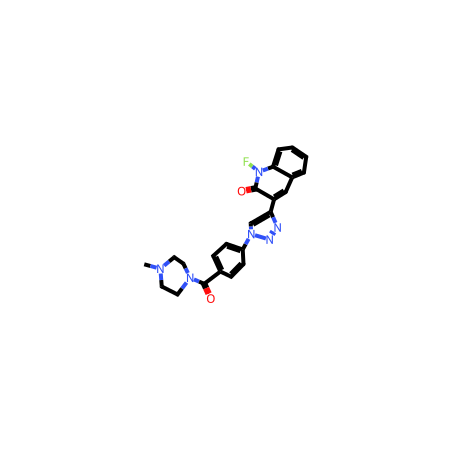 CN1CCN(C(=O)c2ccc(-n3cc(-c4cc5ccccc5n(F)c4=O)nn3)cc2)CC1